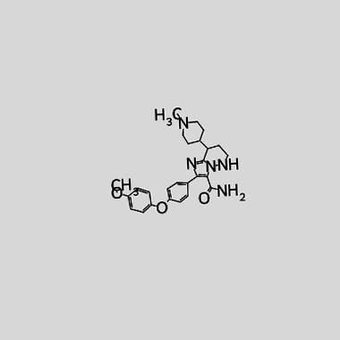 COc1ccc(Oc2ccc(-c3nc4n(c3C(N)=O)NCCC4C3CCN(C)CC3)cc2)cc1